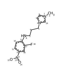 C[n+]1ccn(CCCNc2ccc([N+](=O)[O-])cc2F)c1